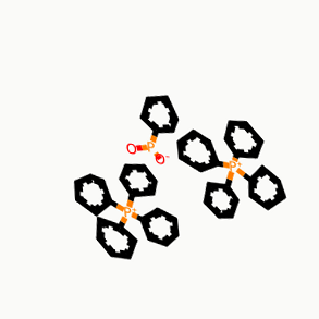 [O-]P([O-])c1ccccc1.c1ccc([P+](c2ccccc2)(c2ccccc2)c2ccccc2)cc1.c1ccc([P+](c2ccccc2)(c2ccccc2)c2ccccc2)cc1